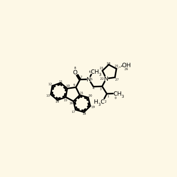 CC(C)C(CN(C)C(=O)C1c2ccccc2-c2ccccc21)N1CC[C@H](O)C1